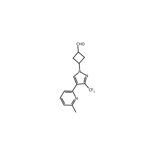 Cc1cccc(-c2cn(C3CC(C=O)C3)nc2C(F)(F)F)n1